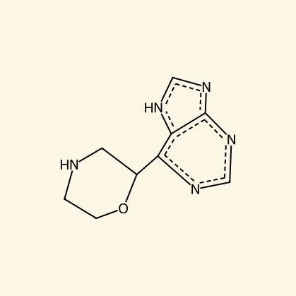 c1nc(C2CNCCO2)c2[nH]cnc2n1